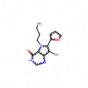 N#Cc1c(-c2ccco2)n(CCCN)c2c(=O)[nH]cnc12